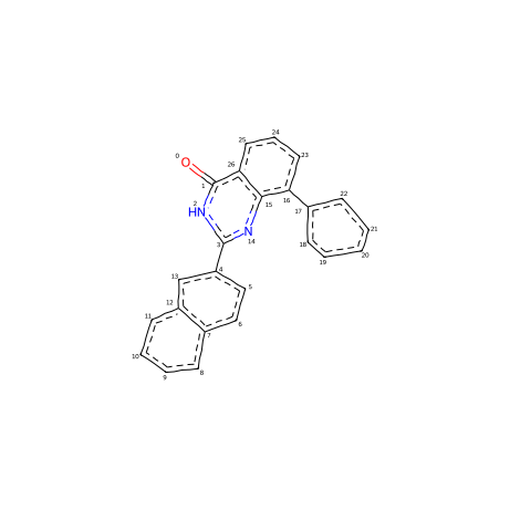 O=c1[nH]c(-c2ccc3ccccc3c2)nc2c(-c3ccccc3)cccc12